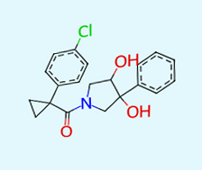 O=C(N1CC(O)C(O)(c2ccccc2)C1)C1(c2ccc(Cl)cc2)CC1